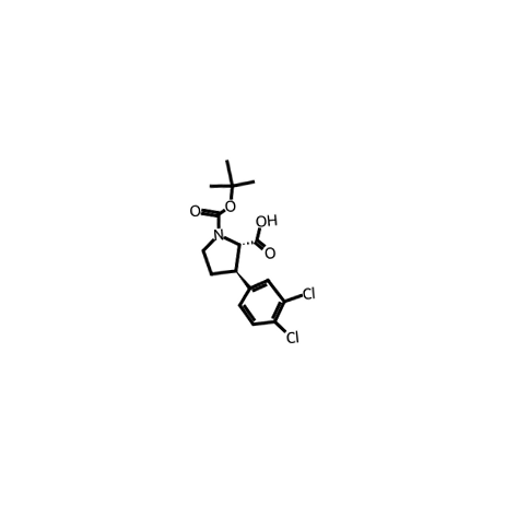 CC(C)(C)OC(=O)N1CC[C@H](c2ccc(Cl)c(Cl)c2)[C@H]1C(=O)O